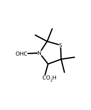 CC1(C)SC(C)(C)N(C=O)C1C(=O)O